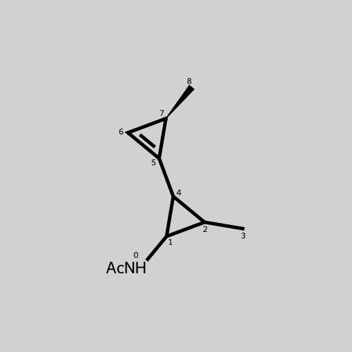 CC(=O)NC1C(C)C1C1=C[C@H]1C